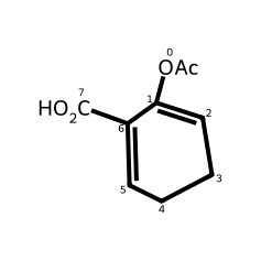 CC(=O)OC1=CCCC=C1C(=O)O